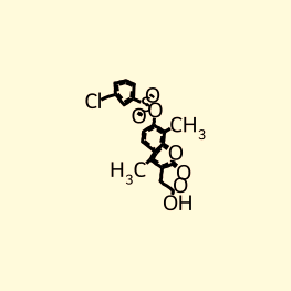 Cc1c(CC(=O)O)c(=O)oc2c(C)c(OS(=O)(=O)c3cccc(Cl)c3)ccc12